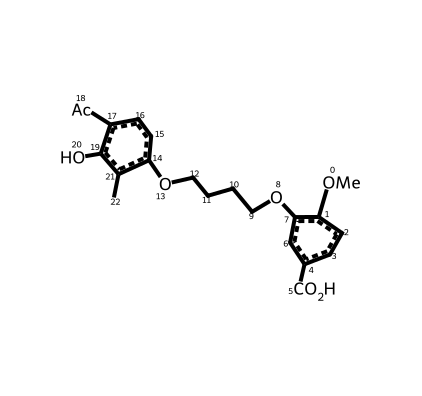 COc1ccc(C(=O)O)cc1OCCCCOc1ccc(C(C)=O)c(O)c1C